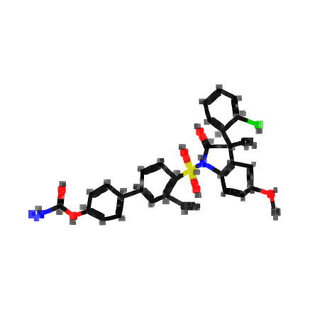 CCOc1ccc2c(c1)C(C)(c1ccccc1Cl)C(=O)N2S(=O)(=O)c1ccc(-c2ccc(OC(N)=O)cc2)cc1OC